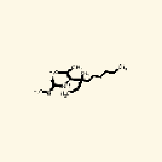 CCCCCCC(C)(CC)[C@@H](NC(=O)OC)C(C)C